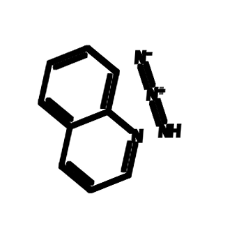 [N-]=[N+]=N.c1ccc2ncccc2c1